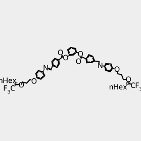 CCCCCC[C@H](OCCCOc1ccc(N=Cc2ccc(C(=O)Oc3cccc(OC(=O)c4ccc(C=Nc5ccc(OCCCO[C@@H](CCCCCC)C(F)(F)F)cc5)cc4)c3)cc2)cc1)C(F)(F)F